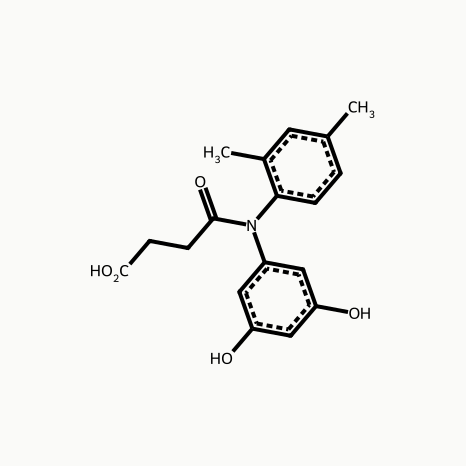 Cc1ccc(N(C(=O)CCC(=O)O)c2cc(O)cc(O)c2)c(C)c1